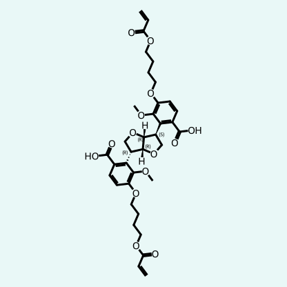 C=CC(=O)OCCCCOc1ccc(C(=O)O)c([C@H]2CO[C@H]3[C@@H]2OC[C@H]3c2c(C(=O)O)ccc(OCCCCOC(=O)C=C)c2OC)c1OC